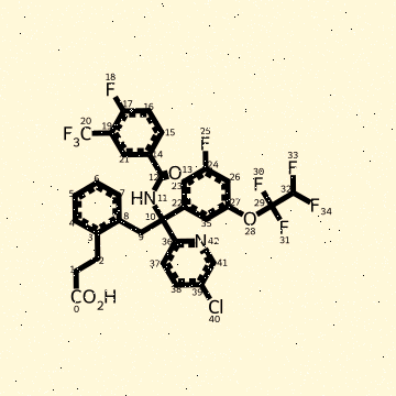 O=C(O)CCc1ccccc1CC(NC(=O)c1ccc(F)c(C(F)(F)F)c1)(c1cc(F)cc(OC(F)(F)C(F)F)c1)c1ccc(Cl)cn1